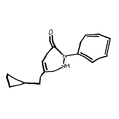 O=c1cc(CC2CC2)[nH]n1-c1ccccc1